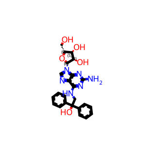 Nc1nc(NCC(O)(c2ccccc2)c2ccccc2)c2ncn([C@@H]3O[C@H](CO)[C@@H](O)[C@H]3O)c2n1